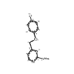 CSc1nccc(COc2ccc(Cl)cc2)n1